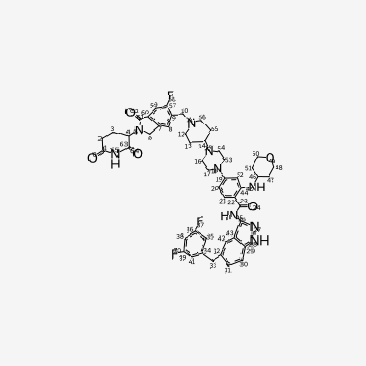 O=C1CCC(N2Cc3cc(CN4CCC(N5CCN(c6ccc(C(=O)Nc7n[nH]c8ccc(Cc9cc(F)cc(F)c9)cc78)c(NC7CCOCC7)c6)CC5)CC4)c(F)cc3C2=O)C(=O)N1